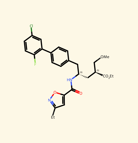 CCOC(=O)[C@H](COC)C[C@@H](Cc1ccc(-c2cc(Cl)ccc2F)cc1)NC(=O)c1cc(CC)no1